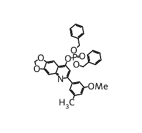 COc1cc(C)cc(-c2cc(OP(=O)(OCc3ccccc3)OCc3ccccc3)c3cc4c(cc3n2)OCO4)c1